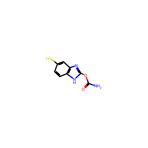 NC(=O)Oc1nc2cc(S)ccc2[nH]1